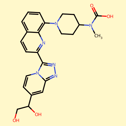 CN(C(=O)O)C1CCN(c2cccc3ccc(-c4nnc5cc(C(O)CO)ccn45)nc23)CC1